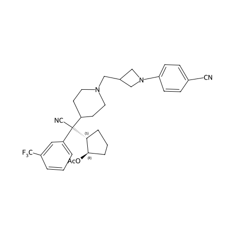 CC(=O)O[C@@H]1CCC[C@H]1C(C#N)(c1cccc(C(F)(F)F)c1)C1CCN(CC2CN(c3ccc(C#N)cc3)C2)CC1